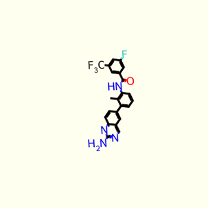 Cc1c(NC(=O)c2cc(F)cc(C(F)(F)F)c2)cccc1-c1ccc2nc(N)ncc2c1